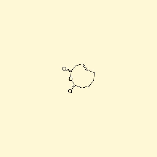 O=C1C/C=C/CCCCC(=O)O1